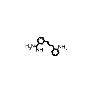 N=C(N)c1cccc(C=CCc2ccccc2N)c1